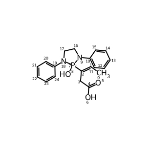 CC=C(CC(=O)O)[P]1(O)N(c2ccccc2)CCN1c1ccccc1